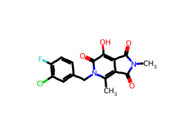 Cc1c2c(c(O)c(=O)n1Cc1ccc(F)c(Cl)c1)C(=O)N(C)C2=O